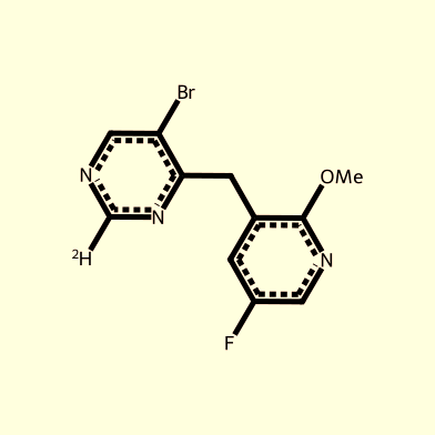 [2H]c1ncc(Br)c(Cc2cc(F)cnc2OC)n1